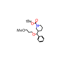 COCCCOC(c1ccccc1)C1CCCN(C(=O)OC(C)(C)C)C1